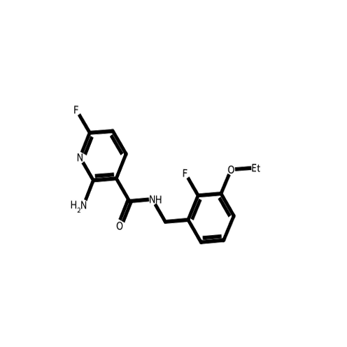 CCOc1cccc(CNC(=O)c2ccc(F)nc2N)c1F